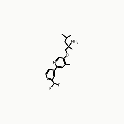 Cc1cc(-c2ccnc(C(F)F)c2)ncc1OCC(C)(N)CC(C)C